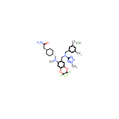 CCN(C[C@H]1CC[C@H](CC(N)=O)CC1)c1cc2c(cc1CN(Cc1cc(C(F)(F)F)cc(C(F)(F)F)c1)c1nnn(C)n1)OC(F)(F)C(F)(F)O2.Cl